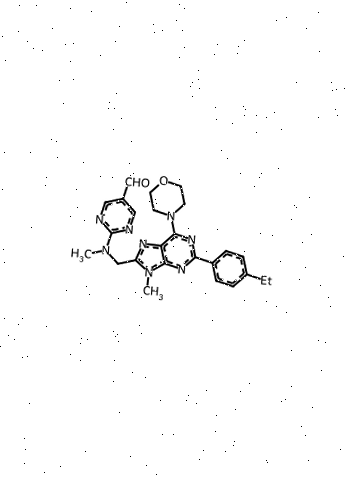 CCc1ccc(-c2nc(N3CCOCC3)c3nc(CN(C)c4ncc(C=O)cn4)n(C)c3n2)cc1